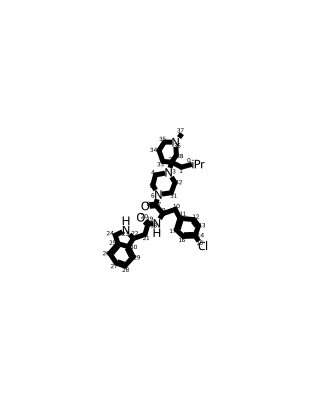 CC(C)CC1(N2CCN(C(=O)C(Cc3ccc(Cl)cc3)NC(=O)CC3NCc4ccccc43)CC2)CCCN(C)C1